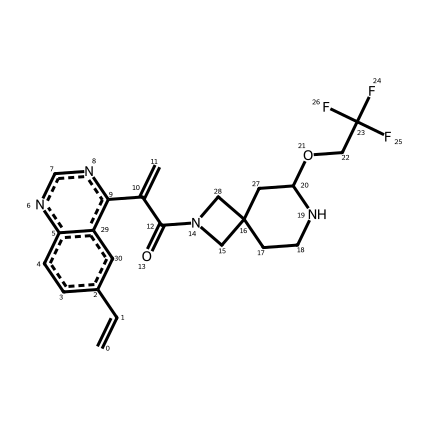 C=Cc1ccc2ncnc(C(=C)C(=O)N3CC4(CCNC(OCC(F)(F)F)C4)C3)c2c1